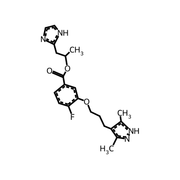 Cc1n[nH]c(C)c1CCCOc1cc(C(=O)OC(C)Cc2ncc[nH]2)ccc1F